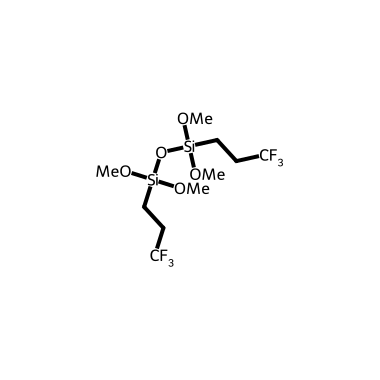 CO[Si](CCC(F)(F)F)(OC)O[Si](CCC(F)(F)F)(OC)OC